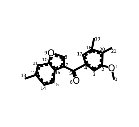 COc1cc(C(=O)c2coc3cc(C)ccc23)cc(C)c1C